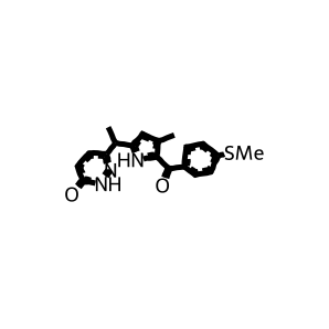 CSc1ccc(C(=O)c2[nH]c(C(C)c3ccc(=O)[nH]n3)cc2C)cc1